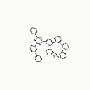 O=S1(=O)c2ccccc2-c2ccccc2-c2ccccc2-c2ccc(-c3nc(-c4ccccc4)nc(-c4cccc(-c5ccccc5)c4)n3)cc2-c2ccccc21